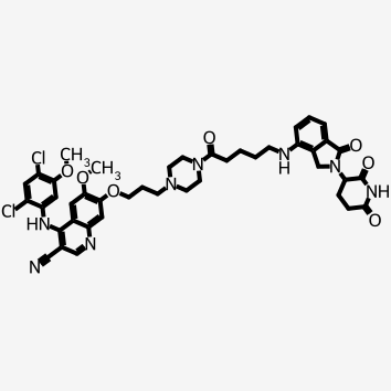 COc1cc(Nc2c(C#N)cnc3cc(OCCCN4CCN(C(=O)CCCCNc5cccc6c5CN(C5CCC(=O)NC5=O)C6=O)CC4)c(OC)cc23)c(Cl)cc1Cl